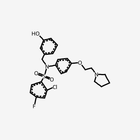 O=S(=O)(c1ccc(F)cc1Cl)N(Cc1cccc(O)c1)c1ccc(OCCN2CCCC2)cc1